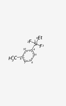 CC[Si](F)(F)c1cccc(C)c1